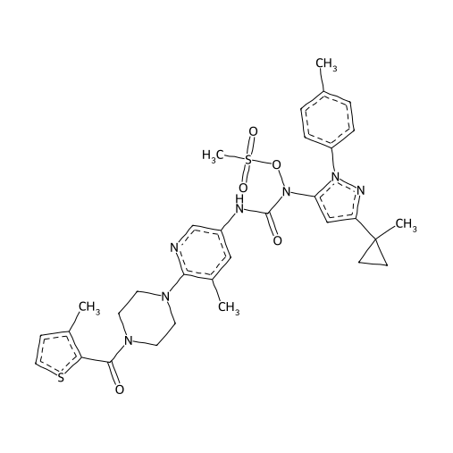 Cc1ccc(-n2nc(C3(C)CC3)cc2N(OS(C)(=O)=O)C(=O)Nc2cnc(N3CCN(C(=O)c4sccc4C)CC3)c(C)c2)cc1